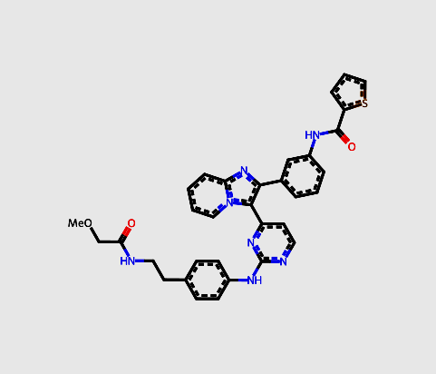 COCC(=O)NCCc1ccc(Nc2nccc(-c3c(-c4cccc(NC(=O)c5cccs5)c4)nc4ccccn34)n2)cc1